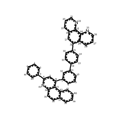 c1ccc(-c2cc(-c3cccc(-c4ccc(-c5cc6cccnc6c6ncccc56)cc4)c3)c3c(ccc4ccccc43)n2)cc1